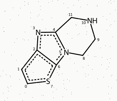 c1cc2nc3n(c2s1)CCNC3